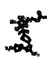 CC[C@@H](C)[C@@H](C(=O)NS(=O)(=O)c1ccc(-n2nc(C(F)(F)F)cc2-c2ccc(C)cc2)cc1)N(C)[N+]([O-])=NOCOC(=O)C(C)(C)C